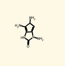 NC1=c2[nH]c(=O)n(N)c2=CC1N